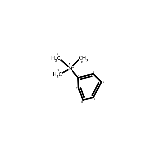 C[N+](C)(C)c1c[c]ccc1